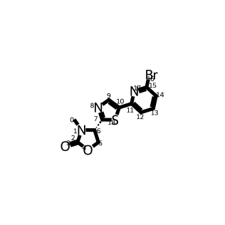 CN1C(=O)OC[C@H]1c1ncc(-c2cccc(Br)n2)s1